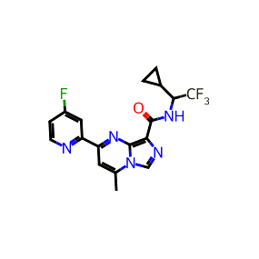 Cc1cc(-c2cc(F)ccn2)nc2c(C(=O)NC(C3CC3)C(F)(F)F)ncn12